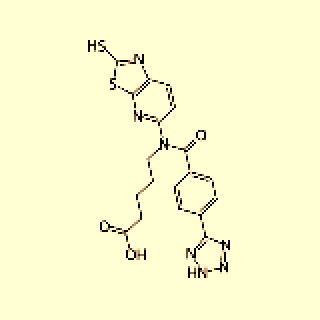 O=C(O)CCCCN(C(=O)c1ccc(-c2nn[nH]n2)cc1)c1ccc2nc(S)sc2n1